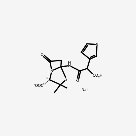 CC1(C)SC2(NC(=O)C(C(=O)O)c3ccsc3)CC(=O)N2[C@H]1C(=O)[O-].[Na+]